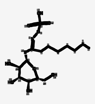 CSCCCCC/C(=N\OS(=O)(=O)O)S[C@@H]1O[C@H](CO)[C@@H](O)[C@H](O)[C@H]1O